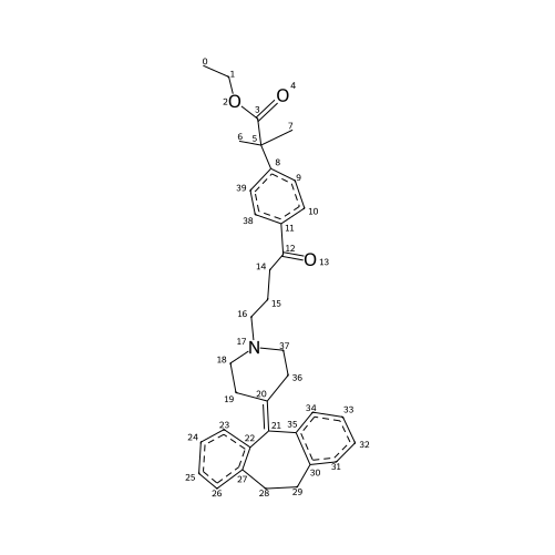 CCOC(=O)C(C)(C)c1ccc(C(=O)CCCN2CCC(=C3c4ccccc4CCc4ccccc43)CC2)cc1